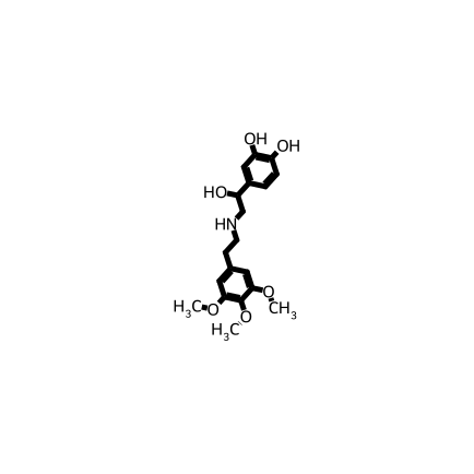 COc1cc(CCNCC(O)c2ccc(O)c(O)c2)cc(OC)c1OC